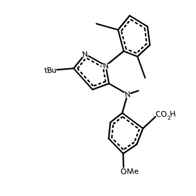 COc1ccc(N(C)c2cc(C(C)(C)C)nn2-c2c(C)cccc2C)c(C(=O)O)c1